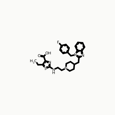 CCc1sc(NCCN2CCC(Cc3nc4ccccc4n3Cc3ccc(F)cc3)CC2)nc1C(=O)O